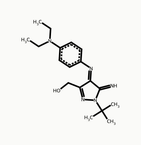 CCN(CC)c1ccc(N=C2C(=N)N(C(C)(C)C)N=C2CO)cc1